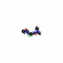 Cc1ccc(-n2nc(C(C)(C)C)cc2NC(=O)C=Cc2ccc(CN3CCC(=O)N(c4ccccc4C)C3)cc2)cc1.Cl